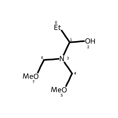 CCC(O)N(COC)COC